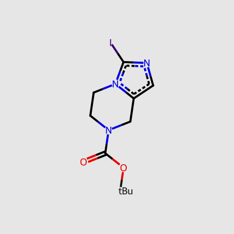 CC(C)(C)OC(=O)N1CCn2c(cnc2I)C1